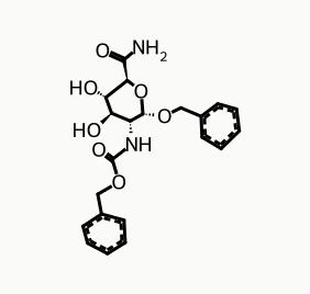 NC(=O)[C@H]1O[C@H](OCc2ccccc2)[C@H](NC(=O)OCc2ccccc2)[C@@H](O)[C@@H]1O